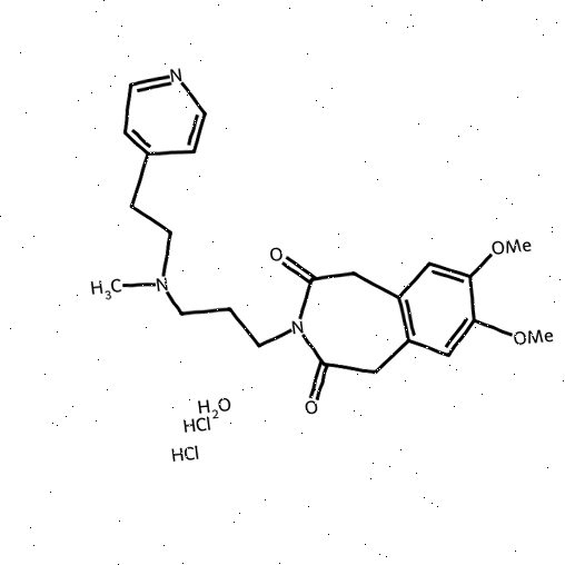 COc1cc2c(cc1OC)CC(=O)N(CCCN(C)CCc1ccncc1)C(=O)C2.Cl.Cl.O